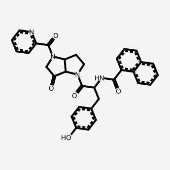 O=C(NC(Cc1ccc(O)cc1)C(=O)N1CCC2C1C(=O)CN2C(=O)c1ccccn1)c1cccc2ccccc12